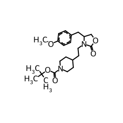 COc1ccc(CC2COC(=O)N2CCC2CCN(C(=O)OC(C)(C)C)CC2)cc1